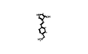 NCc1ccc(C=Cc2c[nH]cc2O)cc1